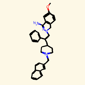 COc1ccc2c(c1)C(N)=NN(CC(c1ccccc1)C1CCN(Cc3ccc4ccccc4c3)CC1)C2